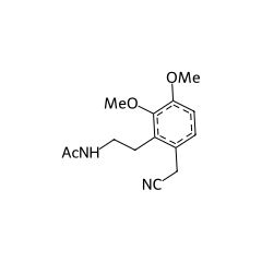 COc1ccc(CC#N)c(CCNC(C)=O)c1OC